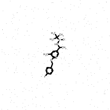 Cc1cc(C(C)N[S+]([O-])C(C)(C)C)cnc1OCc1ccc(F)cc1